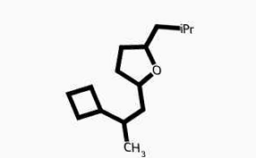 CC(C)CC1CCC(CC(C)C2CCC2)O1